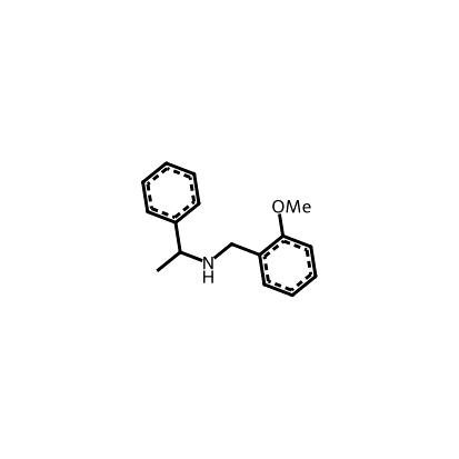 COc1ccccc1CNC(C)c1ccccc1